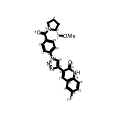 COC[C@H]1CCCN1C(=O)c1ccc(-n2cc(-c3cc4cc(F)ccc4[nH]c3=O)nn2)cc1